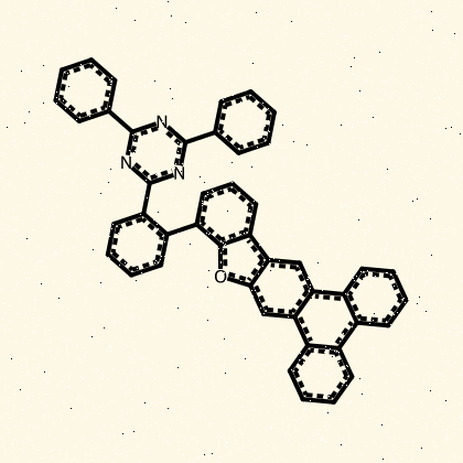 c1ccc(-c2nc(-c3ccccc3)nc(-c3ccccc3-c3cccc4c3oc3cc5c6ccccc6c6ccccc6c5cc34)n2)cc1